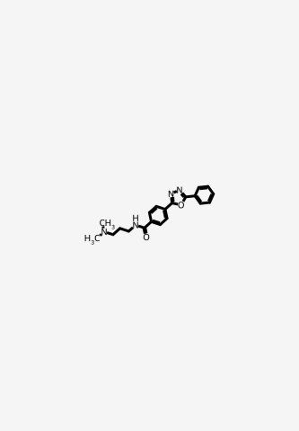 CN(C)CCCNC(=O)c1ccc(-c2nnc(-c3ccccc3)o2)cc1